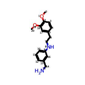 COc1ccc(CCNc2cccc(CN)c2)cc1OC